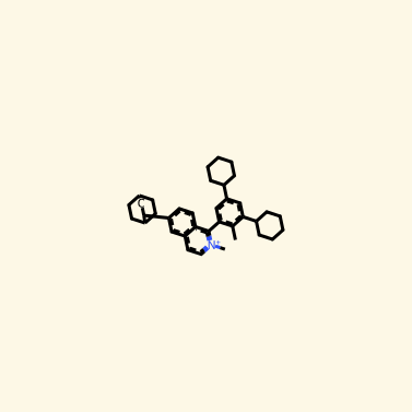 Cc1c(-c2c3ccc(C4CC5CCC4CC5)cc3cc[n+]2C)cc(C2CCCCC2)cc1C1CCCCC1